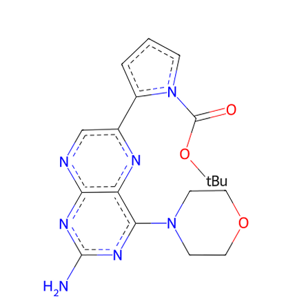 CC(C)(C)OC(=O)n1cccc1-c1cnc2nc(N)nc(N3CCOCC3)c2n1